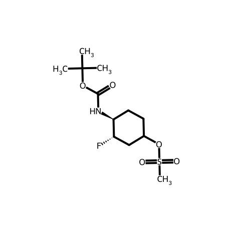 CC(C)(C)OC(=O)N[C@H]1CCC(OS(C)(=O)=O)C[C@@H]1F